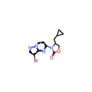 O=C1OCC(CC2CC2)N1c1ccn2ncc(Br)c2n1